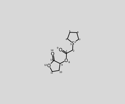 O=C(C[S+]1CCCC1)OC1CCOC1=O